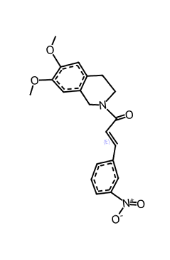 COc1cc2c(cc1OC)CN(C(=O)/C=C/c1cccc([N+](=O)[O-])c1)CC2